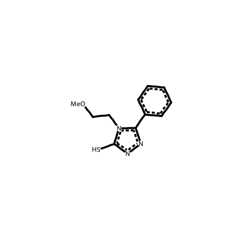 COCCn1c(S)nnc1-c1ccccc1